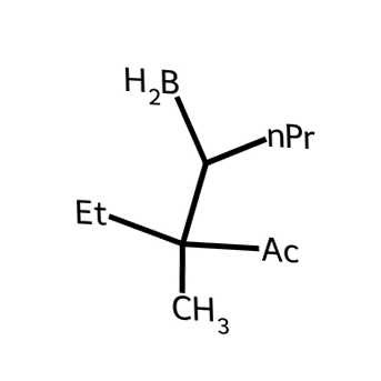 BC(CCC)C(C)(CC)C(C)=O